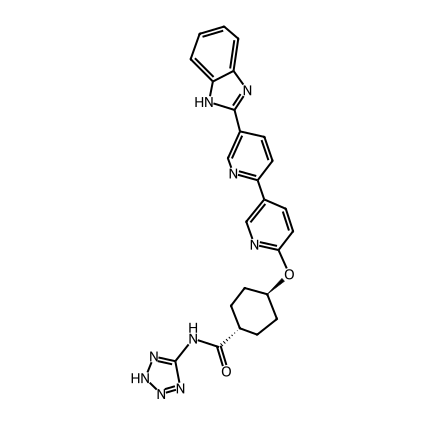 O=C(Nc1nn[nH]n1)[C@H]1CC[C@H](Oc2ccc(-c3ccc(-c4nc5ccccc5[nH]4)cn3)cn2)CC1